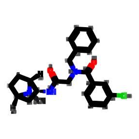 N#CN1[C@H]2CC[C@@H]1[C@H](NC(=O)CN(Cc1ccccc1)C(=O)c1cccc(Cl)c1)C2